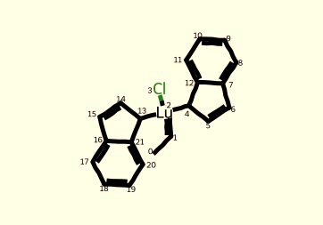 C[CH]=[Lu]([Cl])([CH]1C=Cc2ccccc21)[CH]1C=Cc2ccccc21